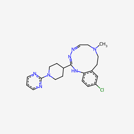 CN1CC=NN=C(C2CCN(c3ncccn3)CC2)Nc2ccc(Cl)cc2CC1